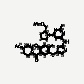 COC[C@@H]1CCCN1c1cc(Nc2ncc(Sc3cc(C(=O)N4CCN(C(C)=O)CC4)c(OC)cc3C)s2)nc(C)n1